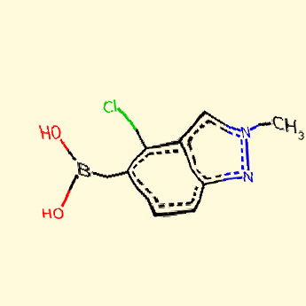 Cn1cc2c(Cl)c(B(O)O)ccc2n1